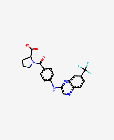 O=C(O)C1CCCN1C(=O)c1ccc(Nc2cnc3ccc(C(F)(F)F)cc3n2)cc1